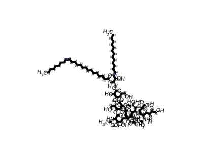 CCCCCCCC/C=C\CCCCCCCCCCCCCC(=O)N[C@@H](CO[C@@H]1OC(CO)[C@@H](O[C@@H]2OC(CO)[C@H](O[C@@H]3OC(CO)[C@H](O)[C@H](O)C3NC(C)=O)[C@H](O[C@]3(C(=O)O)CC(O)[C@@H](NC(C)=O)C([C@H](O)[C@@H](CO)O[C@]4(C(=O)O)CC(O)[C@@H](NC(C)=O)C([C@H](O)[C@H](O)CO)O4)O3)C2O)[C@H](O)C1O)[C@H](O)/C=C/CCCCCCCCCCCCC